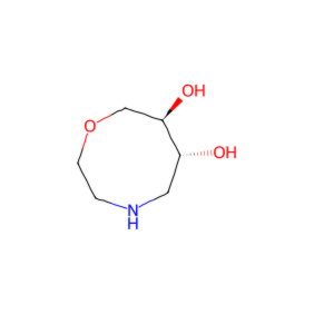 O[C@@H]1CNCCOC[C@H]1O